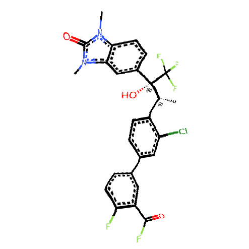 C[C@H](c1ccc(-c2ccc(F)c(C(=O)F)c2)cc1Cl)[C@@](O)(c1ccc2c(c1)n(C)c(=O)n2C)C(F)(F)F